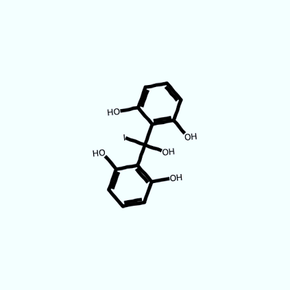 Oc1cccc(O)c1C(O)(I)c1c(O)cccc1O